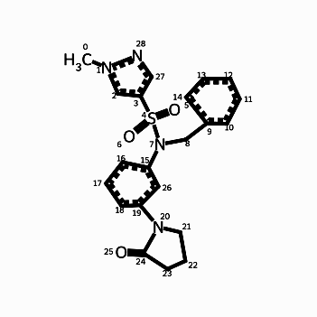 Cn1cc(S(=O)(=O)N(Cc2ccccc2)c2cccc(N3CCCC3=O)c2)cn1